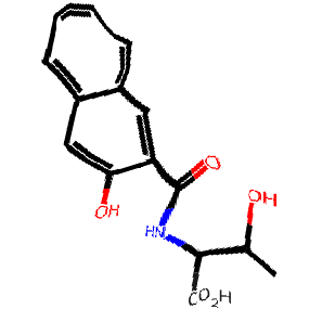 CC(O)C(NC(=O)c1cc2ccccc2cc1O)C(=O)O